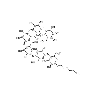 NCCCCCO[C@@H]1OC(C(=O)O)[C@@H](O[C@H]2OC(CO)[C@H](O[C@H]3OC(CO)[C@@H](O[C@@H]4OC(CO)[C@@H](O[C@@H]5OC(C(=O)O)[C@@H](C[C@H]6OC(CO)[C@H](O)[C@H](O)C6O)C(O)[C@@H]5O)C(O)[C@@H]4O)[C@H](O)C3O)[C@H](O)C2O)C(O)[C@@H]1O